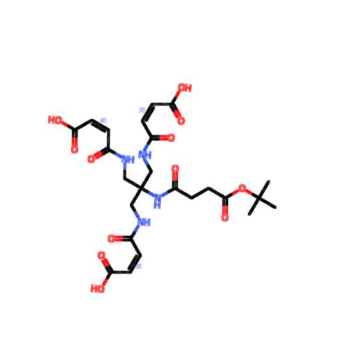 CC(C)(C)OC(=O)CCC(=O)NC(CNC(=O)/C=C\C(=O)O)(CNC(=O)/C=C\C(=O)O)CNC(=O)/C=C\C(=O)O